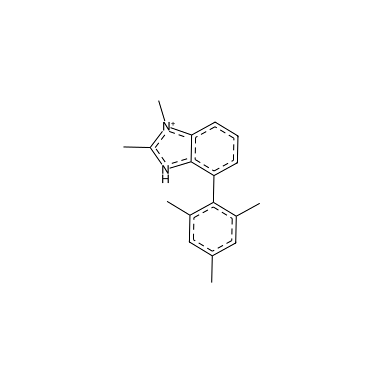 Cc1cc(C)c(-c2cccc3c2[nH]c(C)[n+]3C)c(C)c1